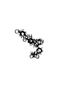 CC1(C(=O)N2CCC[C@@H](C3=C4C=NC=C[N+]4(N)C(c4ccc(C(=O)Nc5ccc(Cl)cn5)cc4)=N3)C2)COC1